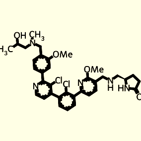 COc1cc(-c2nccc(-c3cccc(-c4ccc(CNC[C@H]5CCC(=O)N5)c(OC)n4)c3Cl)c2Cl)ccc1CN(C)CC(C)O